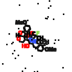 COc1ccc(C[C@H](NC(=O)O)[C@@H](O)C([C@H]2CCO[C@@H]3OCC[C@@H]32)N(CC(C)(C)F)S(=O)(=O)c2ccc(OC)cc2)cc1